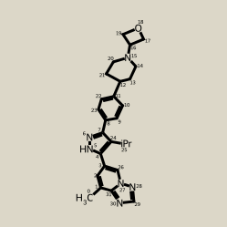 Cc1cc(-c2[nH]nc(-c3ccc(C4CCN(C5COC5)CC4)cc3)c2C(C)C)cn2ncnc12